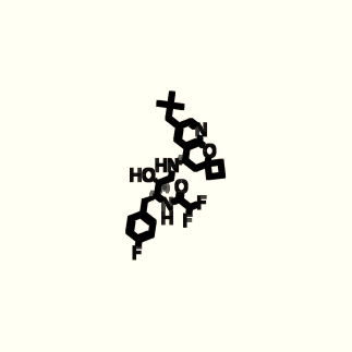 CC(C)(C)Cc1cnc2c(c1)[C@@H](NC[C@@H](O)[C@H](Cc1ccc(F)cc1)NC(=O)C(F)F)CC1(CCC1)O2